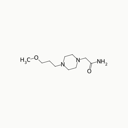 COCCCN1CCN(CC(N)=O)CC1